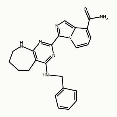 NC(=O)c1cccn2c(-c3nc4c(c(NCc5ccccc5)n3)CCCCN4)ncc12